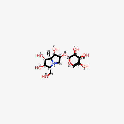 OC[C@H]1[C@@H](O)[C@H](O)[C@H]2[C@H](O)[C@@H](O[C@H]3OC=C(O)C(O)C3O)CN21